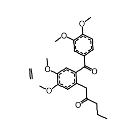 C=C.CCCC(=O)Cc1cc(OC)c(OC)cc1C(=O)c1ccc(OC)c(OC)c1